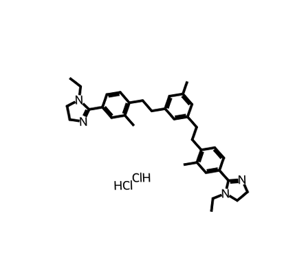 CCN1CCN=C1c1ccc(CCc2cc(C)cc(CCc3ccc(C4=NCCN4CC)cc3C)c2)c(C)c1.Cl.Cl